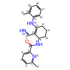 Cc1cccc(C(=O)NC2CCCC(Nc3ccccc3C)=C2C=N)n1